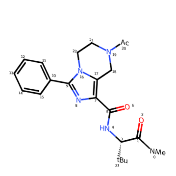 CNC(=O)[C@@H](NC(=O)c1nc(-c2ccccc2)n2c1CN(C(C)=O)CC2)C(C)(C)C